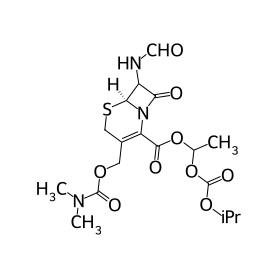 CC(C)OC(=O)OC(C)OC(=O)C1=C(COC(=O)N(C)C)CS[C@H]2C(NC=O)C(=O)N12